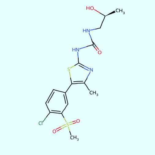 Cc1nc(NC(=O)NC[C@H](C)O)sc1-c1ccc(Cl)c(S(C)(=O)=O)c1